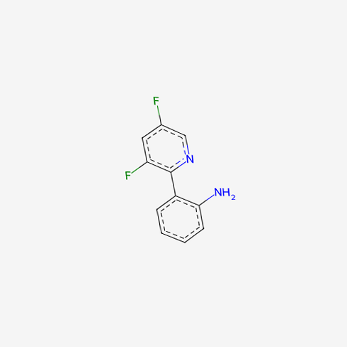 Nc1ccccc1-c1ncc(F)cc1F